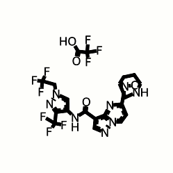 O=C(Nc1cn(CC(F)(F)F)nc1C(F)(F)F)c1cnn2ccc(N3CC4CCC3CN4)nc12.O=C(O)C(F)(F)F